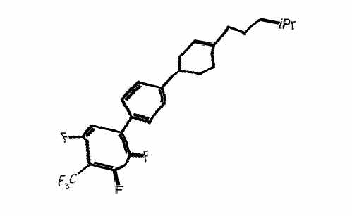 CC(C)CCCC1CCC(c2ccc(-c3cc(F)c(C(F)(F)F)c(F)c3F)cc2)CC1